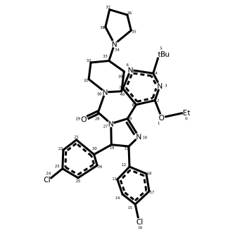 CCOc1nc(C(C)(C)C)ncc1C1=NC(c2ccc(Cl)cc2)C(c2ccc(Cl)cc2)N1C(=O)N1CCC(N2CCCC2)CC1